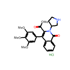 COC(=O)c1c(-c2cc(OC)c(OC)c(OC)c2)c2ccccc2c(=O)n1C1CCNC1.Cl